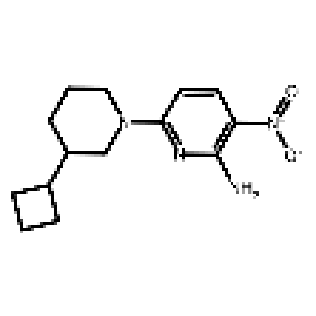 Nc1nc(N2CCCC(C3CCC3)C2)ccc1[N+](=O)[O-]